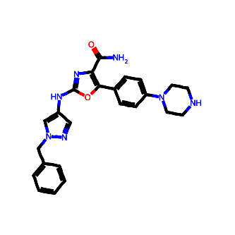 NC(=O)c1nc(Nc2cnn(Cc3ccccc3)c2)oc1-c1ccc(N2CCNCC2)cc1